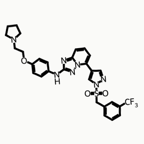 O=S(=O)(Cc1cccc(C(F)(F)F)c1)n1cc(-c2cccc3nc(Nc4ccc(OCCN5CCCC5)cc4)nn23)cn1